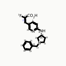 O=C(O)/C(F)=C\c1ccc(N[C@@H]2CCN(Cc3ccccc3)C2)nc1